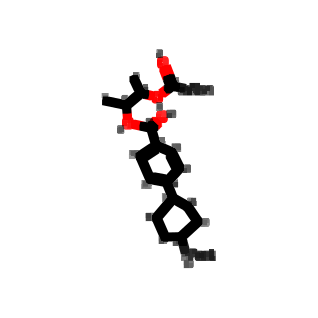 CCCCCCCCCC(=O)OC(C)C(C)OC(=O)c1ccc(C2CCC(CCCCC)CC2)cc1